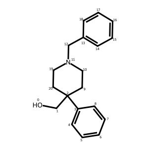 OCC1(c2ccccc2)CCN(Cc2ccccc2)CC1